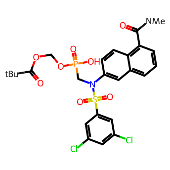 CNC(=O)c1cccc2cc(N(CP(=O)(O)OCOC(=O)C(C)(C)C)S(=O)(=O)c3cc(Cl)cc(Cl)c3)ccc12